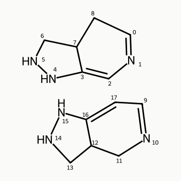 C1=NC=C2NNCC2C1.C1=NCC2CNNC2=C1